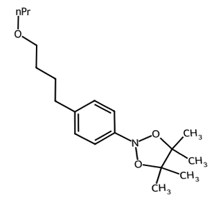 CCCOCCCCc1ccc(N2OC(C)(C)C(C)(C)O2)cc1